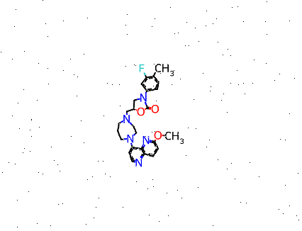 COc1ccc2nccc(N3CCCN(CC4CN(c5ccc(C)c(F)c5)C(=O)O4)CC3)c2n1